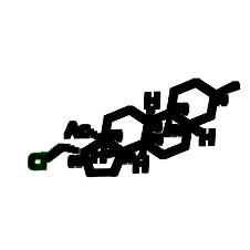 CC(=O)[C@]12CC[C@H]3[C@@H](CC[C@H]4C[C@H](C)CC[C@@]43C)[C@@H]1CC[C@@H]2CCl